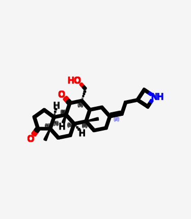 C[C@]12CC/C(=C/CC3CNC3)CC1[C@@H](CO)C(=O)[C@@H]1[C@@H]2CC[C@]2(C)C(=O)CC[C@@H]12